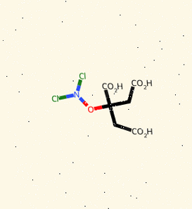 O=C(O)CC(CC(=O)O)(ON(Cl)Cl)C(=O)O